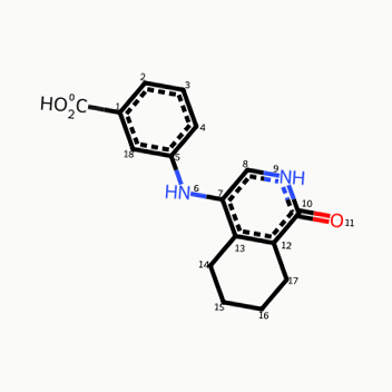 O=C(O)c1cccc(Nc2c[nH]c(=O)c3c2CCCC3)c1